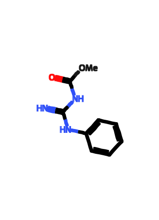 COC(=O)NC(=N)Nc1ccccc1